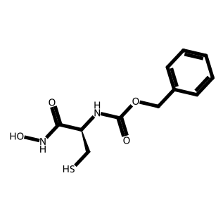 O=C(N[C@@H](CS)C(=O)NO)OCc1ccccc1